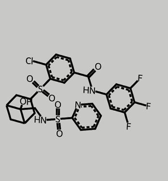 O=C(Nc1cc(F)c(F)c(F)c1)c1ccc(Cl)c(S(=O)(=O)C2CC3CC(C2)C3(O)CNS(=O)(=O)c2ccccn2)c1